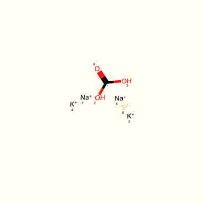 O=C(O)O.[K+].[K+].[Na+].[Na+].[S-2]